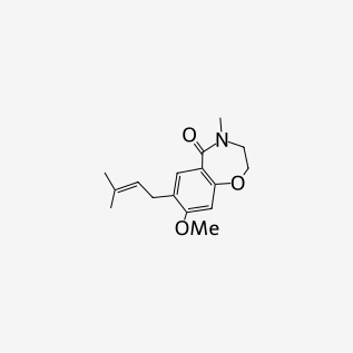 COc1cc2c(cc1CC=C(C)C)C(=O)N(C)CCO2